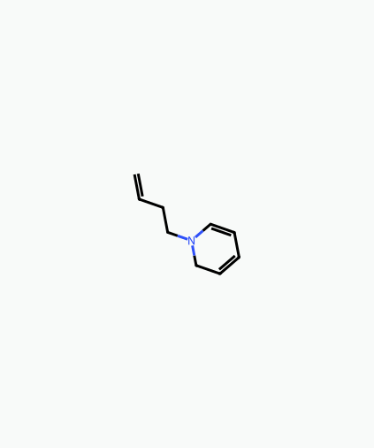 C=CCCN1C=CC=CC1